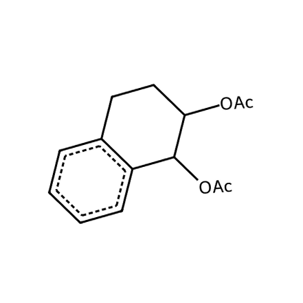 CC(=O)OC1CCc2ccccc2C1OC(C)=O